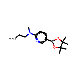 COCCN(C)c1ccc(B2OC(C)(C)C(C)(C)O2)cn1